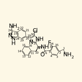 NCc1ccc(C(=O)N[C@@H](Cc2ccccc2)c2nc(-c3ccc4c(N)n[nH]c4c3)c(Cl)[nH]2)c(F)c1